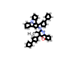 CCC1=C(c2ccc(-c3ccccc3)cc2)C2Oc3ccccc3C2N=C1n1c2ccc(-c3ccccc3)cc2c2c3c4ccccc4n4c5ccccc5c(cc21)c34